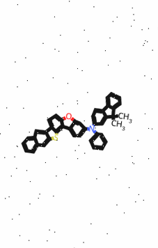 CC1(C)c2ccccc2-c2ccc(N(c3ccccc3)c3ccc4c(c3)oc3ccc5c6cc7ccccc7cc6sc5c34)cc21